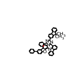 CC1(C)c2ccccc2-c2ccc(-c3nc(-c4ccccc4)nc(-c4cccc5c6ccccc6n(-c6cccc7c6oc6ccc(-c8ccccc8)cc67)c45)n3)cc21